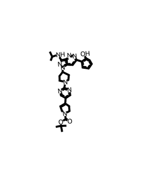 CC(C)Nc1nn(C2CCN(c3ncc(C4=CCN(C(=O)OC(C)(C)C)CC4)cn3)CC2)c2cc(-c3ccccc3O)nnc12